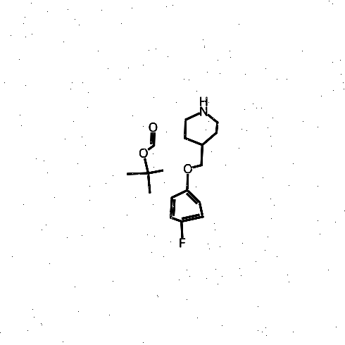 CC(C)(C)OC=O.Fc1ccc(OCC2CCNCC2)cc1